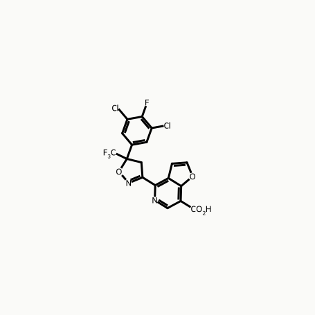 O=C(O)c1cnc(C2=NOC(c3cc(Cl)c(F)c(Cl)c3)(C(F)(F)F)C2)c2ccoc12